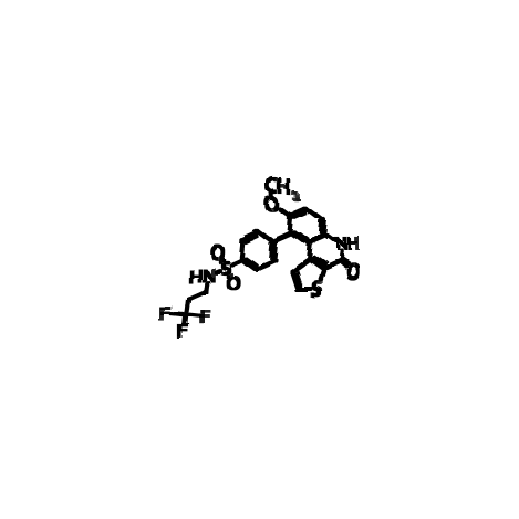 COc1ccc2[nH]c(=O)c3sccc3c2c1-c1ccc(S(=O)(=O)NCCC(F)(F)F)cc1